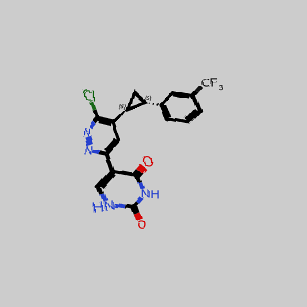 O=c1[nH]cc(-c2cc([C@H]3C[C@@H]3c3cccc(C(F)(F)F)c3)c(Cl)nn2)c(=O)[nH]1